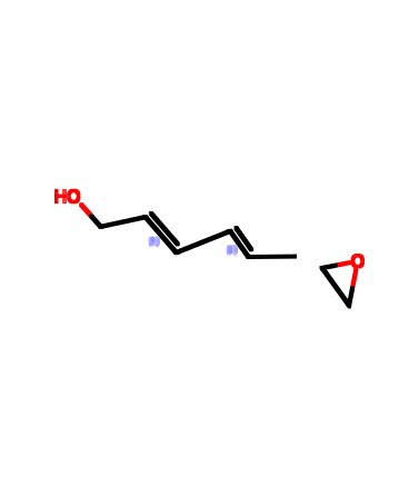 C/C=C/C=C/CO.C1CO1